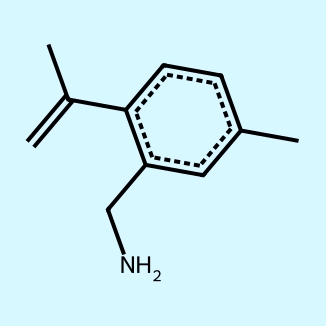 C=C(C)c1ccc(C)cc1CN